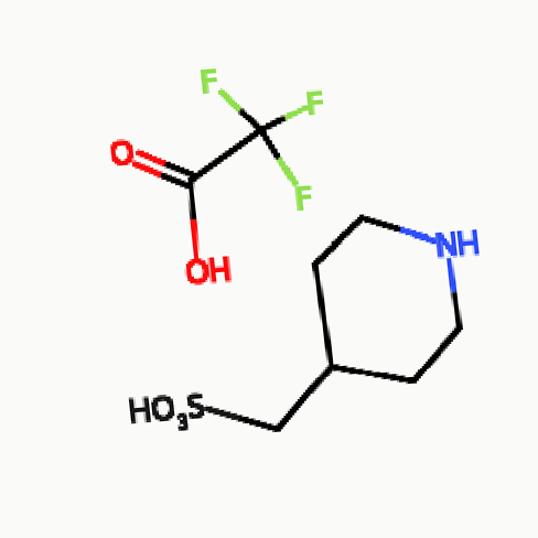 O=C(O)C(F)(F)F.O=S(=O)(O)CC1CCNCC1